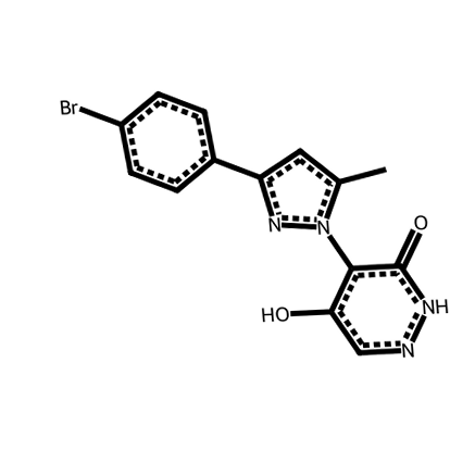 Cc1cc(-c2ccc(Br)cc2)nn1-c1c(O)cn[nH]c1=O